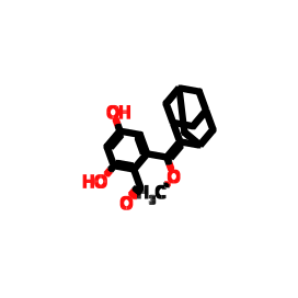 COC(=C1C2CC3CC(C2)CC1C3)c1cc(O)cc(O)c1C=O